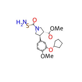 COC(=O)[C@H]1CN(C(=O)SN)C[C@@H]1c1ccc(OC)c(OC2CCCC2)c1